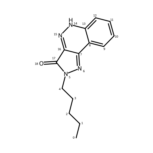 CCCCCn1nc2c3ccccc3[nH]nc-2c1=O